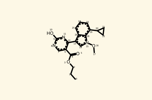 CCCOC(=O)c1cnc(O)nc1-c1cn(OC)c2c(C3CC3)cccc12